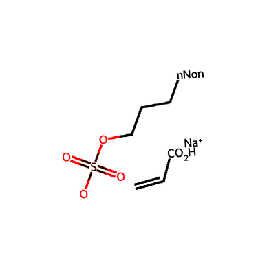 C=CC(=O)O.CCCCCCCCCCCCOS(=O)(=O)[O-].[Na+]